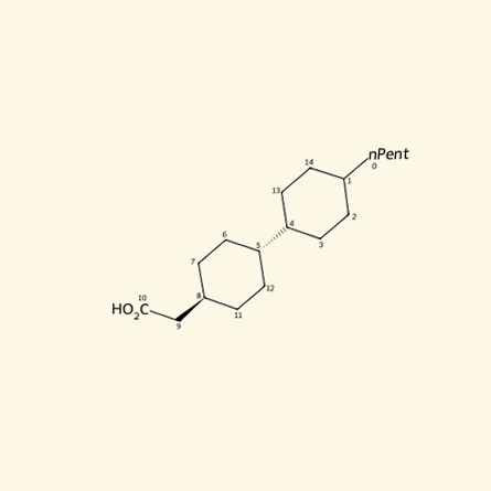 CCCCCC1CCC([C@H]2CC[C@H](CC(=O)O)CC2)CC1